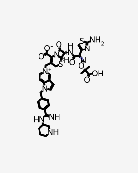 CC(C)(O/N=C(\C(=O)N[C@@H]1C(=O)N2C(C(=O)[O-])=C(C[n+]3ccc4c(ccn4Cc4ccc(C(=N)NC5CCCNC5)cc4)c3)CS[C@H]12)c1csc(N)n1)C(=O)O